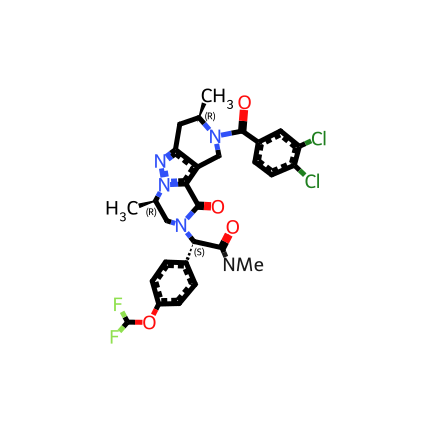 CNC(=O)[C@H](c1ccc(OC(F)F)cc1)N1C[C@@H](C)n2nc3c(c2C1=O)CN(C(=O)c1ccc(Cl)c(Cl)c1)[C@H](C)C3